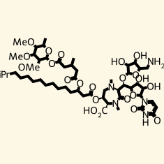 COC1C(C)OC(OC(=O)CC(C)CC(=O)OC(CCCCCCCCCCC(C)C)CC(=O)O[C@H]2CN(C)[C@@H]([C@H](OC3OC(CN)C(O)C3O)C3OC(n4ccc(=O)[nH]c4=O)C(O)C3O)C(=O)N(C)[C@@H]2C(=O)O)C(OC)C1OC